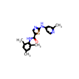 Cc1cc(C)c(NC(=O)c2cnc(Nc3ccnc(C)c3)s2)c(C)c1